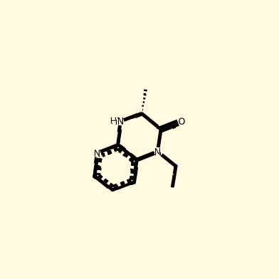 CCN1C(=O)[C@@H](C)Nc2ncccc21